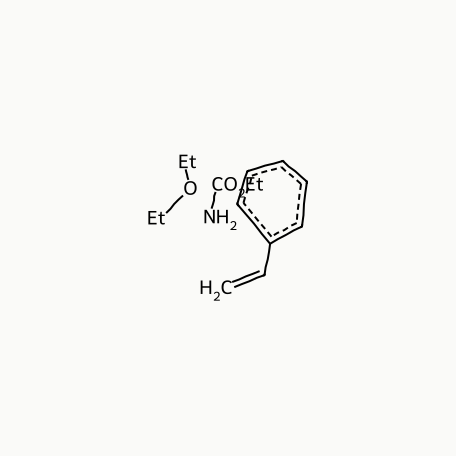 C=Cc1ccccc1.CCOC(N)=O.CCOCC